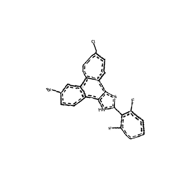 Fc1cccc(F)c1-c1nc2c3ccc(Cl)cc3c3cc(Br)ccc3c2[nH]1